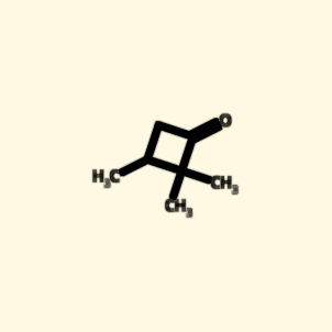 CC1CC(=O)C1(C)C